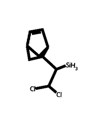 [SiH3]C(C(Cl)Cl)C1CC2C=CC1C2